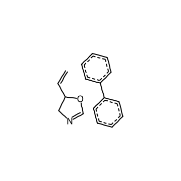 C=CC1CN=CO1.c1ccc(-c2ccccc2)cc1